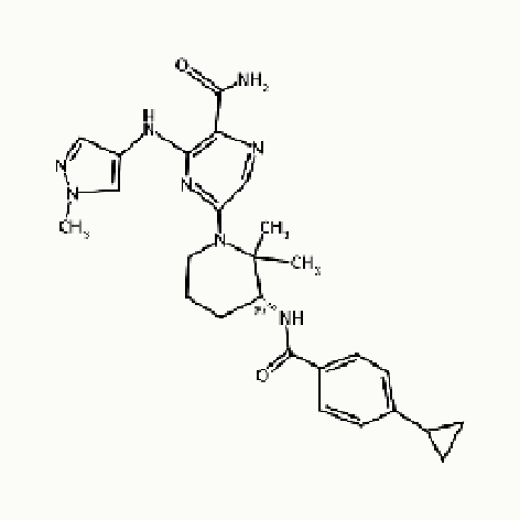 Cn1cc(Nc2nc(N3CCC[C@@H](NC(=O)c4ccc(C5CC5)cc4)C3(C)C)cnc2C(N)=O)cn1